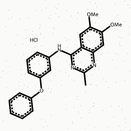 COc1cc2nc(C)nc(Nc3cccc(Oc4ccccc4)c3)c2cc1OC.Cl